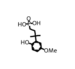 COc1ccc(O)c(C(C)(C)CCP(=O)(O)O)c1